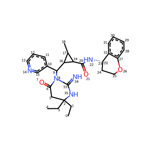 CCC1(CC)CC(=O)N(C(c2cccnc2)C2C(C)C2C(=O)N[C@H]2CCOc3ccccc32)C(=N)N1